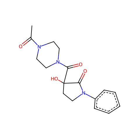 CC(=O)N1CCN(C(=O)C2(O)CCN(c3ccccc3)C2=O)CC1